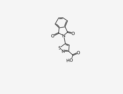 O=C(O)c1cc(N2C(=O)c3ccccc3C2=O)sn1